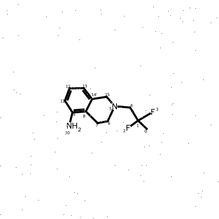 CC(F)(F)CN1CCc2c(N)cccc2C1